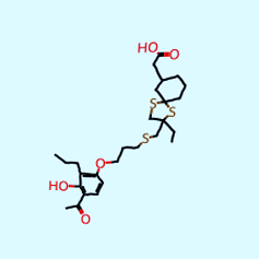 CCCc1c(OCCCSCC2(CC)CSC3(CCCC(CC(=O)O)C3)S2)ccc(C(C)=O)c1O